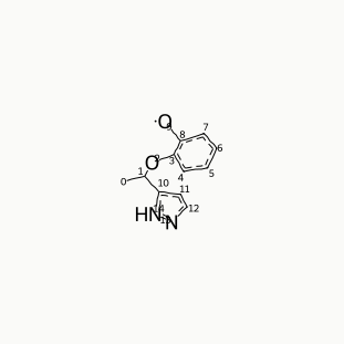 CC(Oc1ccccc1[O])c1ccn[nH]1